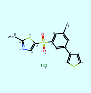 CCc1cc(-c2ccsc2)cc(S(=O)(=O)c2cnc(NC)s2)c1.Cl